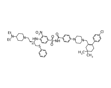 CCN(CC)C1CCN(CC[C@H](CSc2ccccc2)Nc2ccc(S(=O)(=O)NC(=O)c3ccc(N4CCN(CC5=C(c6ccc(Cl)cc6)CCC(C)(C)C5)CC4)cc3)cc2[N+](=O)[O-])CC1